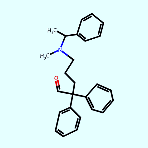 CC(c1ccccc1)N(C)CCCC(C=O)(c1ccccc1)c1ccccc1